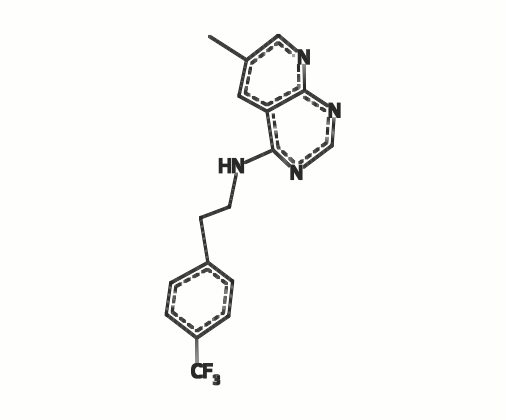 Cc1cnc2ncnc(NCCc3ccc(C(F)(F)F)cc3)c2c1